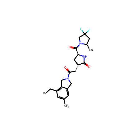 CC(C)Cc1cc(C(F)(F)F)cc2c1CN(C(=O)C[C@@H]1C[C@@H](C(=O)N3CC(F)(F)C[C@H]3C#N)NC1=O)C2